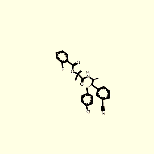 C[C@H](NC(=O)C(C)(C)OC(=O)c1ccccc1F)[C@@H](Cc1ccc(Cl)cc1)c1cccc(C#N)c1